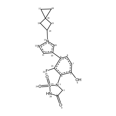 O=C1CN(c2c(O)ccc(-c3cnn(C4CC5(CC5)C4)c3)c2F)S(=O)(=O)N1